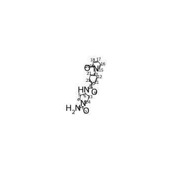 NC(=O)N1C[CH]C(NC(=O)c2ccc(-n3ccccc3=O)cc2)CC1